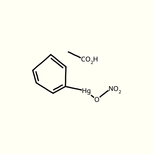 CC(=O)O.O=[N+]([O-])[O][Hg][c]1ccccc1